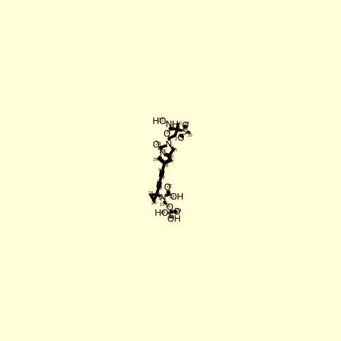 CC(CCN1Cc2cc(C#CC#CC3(N(COP(=O)(O)O)C(=O)O)CC3)cn2C1=O)(C(=O)NO)S(C)(=O)=O